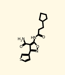 NC(=O)c1c(-c2ccsc2)noc1NC(=O)CCC1CCCC1